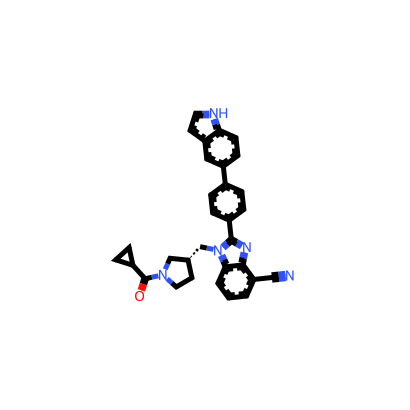 N#Cc1cccc2c1nc(-c1ccc(-c3ccc4[nH]ccc4c3)cc1)n2C[C@@H]1CCN(C(=O)C2CC2)C1